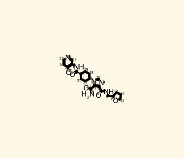 NC(=O)c1c(C(=O)NCC2CCCO2)ncn1[C@H]1CC[C@H](C(=O)Nc2cnccc2Cl)CC1